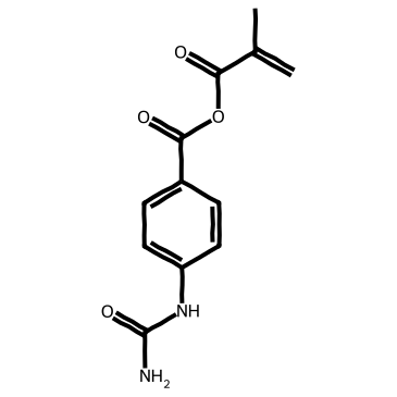 C=C(C)C(=O)OC(=O)c1ccc(NC(N)=O)cc1